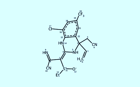 C=CC1(CC#N)N/C(=C(/C(=N)C#N)[S+]([O-])CC)Nc2c(Cl)cc(C(F)(F)F)cc21